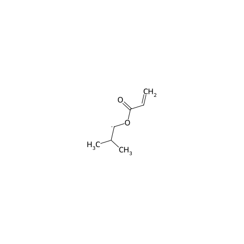 C=CC(=O)O[CH]C(C)C